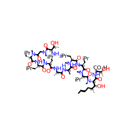 CC=CC[C@@H](C)[C@@H](O)[C@@H](C(=O)N[C@H](C(=O)O)[C@@H](C)O)N(C)C(=O)[C@H](C(C)C)N(C)C(=O)[C@H](CC(C)C)NC(=O)[C@H](CC(C)C)N(C)C(=O)[C@@H](C)NC(=O)[C@H](C)NC(=O)[C@H](CC(C)C)N(C)C(=O)[C@H](CC(C)C)NC(=O)[C@H](CC(C)C)N(C)C(=O)CN(C)C(=O)[C@@H](N)[C@@H](C)O